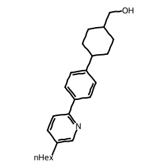 CCCCCCc1ccc(-c2ccc(C3CCC(CO)CC3)cc2)nc1